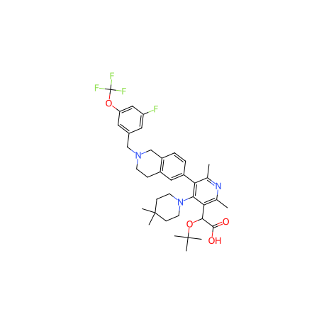 Cc1nc(C)c(C(OC(C)(C)C)C(=O)O)c(N2CCC(C)(C)CC2)c1-c1ccc2c(c1)CCN(Cc1cc(F)cc(OC(F)(F)F)c1)C2